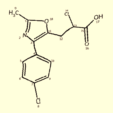 Cc1nc(-c2ccc(Cl)cc2)c(CC(Cl)C(=O)O)o1